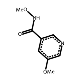 CONC(=O)c1cncc(OC)c1